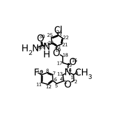 CC1COC(Cc2ccc(F)cc2)CN1C(=O)CCOc1ccc(Cl)cc1NC(N)=O